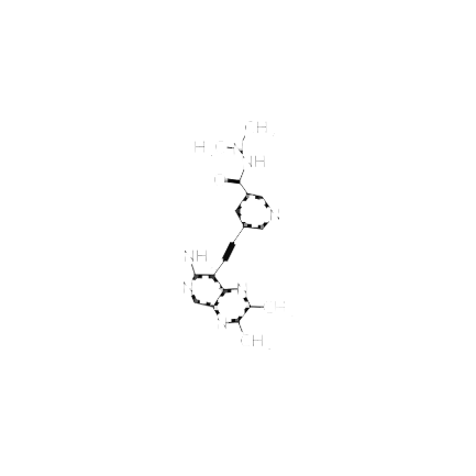 Cc1nc2cnc(N)c(C#Cc3cncc(C(=O)NN(C)C)c3)c2nc1C